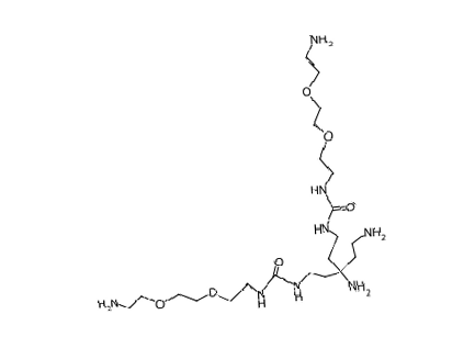 NCCOCCOCCNC(=O)NCCC(N)(CCN)CCNC(=O)NCCOCCOCCN